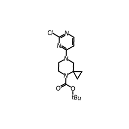 CC(C)(C)OC(=O)N1CCN(c2ccnc(Cl)n2)CC12CC2